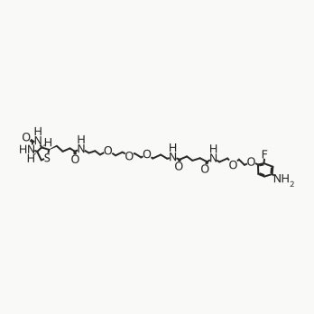 Nc1ccc(OCCOCCNC(=O)CCCC(=O)NCCCOCCOCCOCCCNC(=O)CCC[C@H]2SC[C@H]3NC(=O)N[C@H]32)c(F)c1